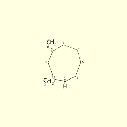 [CH2].[CH2].[CH]1CCCCPCC1